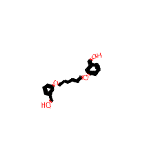 OCc1cccc(OCCCCCCOc2cccc(CO)c2)c1